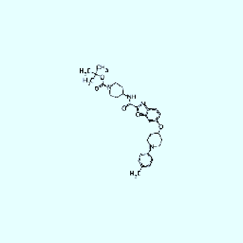 Cc1ccc(N2CCC(Oc3ccc4nc(C(=O)NC5CCN(C(=O)OC(C)(C)C)CC5)oc4c3)CC2)cc1